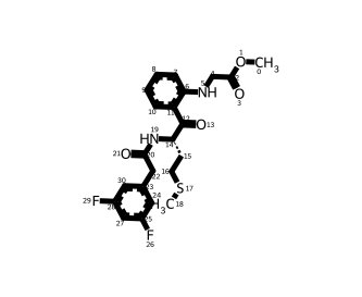 COC(=O)CNc1ccccc1C(=O)[C@H](CCSC)NC(=O)Cc1cc(F)cc(F)c1